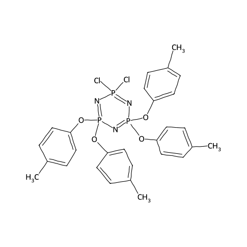 Cc1ccc(OP2(Oc3ccc(C)cc3)=NP(Cl)(Cl)=NP(Oc3ccc(C)cc3)(Oc3ccc(C)cc3)=N2)cc1